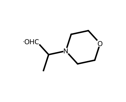 CC([C]=O)N1CCOCC1